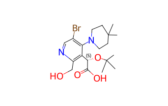 CC1(C)CCN(c2c(Br)cnc(CO)c2[C@H](OC(C)(C)C)C(=O)O)CC1